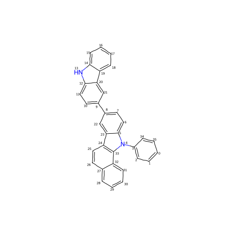 c1ccc(-n2c3ccc(-c4ccc5[nH]c6ccccc6c5c4)cc3c3ccc4ccccc4c32)cc1